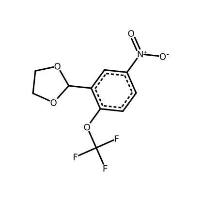 O=[N+]([O-])c1ccc(OC(F)(F)F)c(C2OCCO2)c1